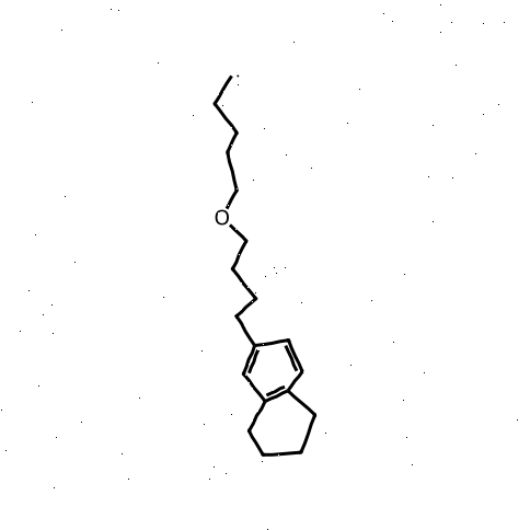 [CH2]CCCCOCCCCc1ccc2c(c1)CCCC2